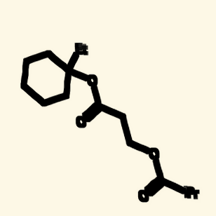 CCC1(OC(=O)CCOC(=O)C(C)C)CCCCC1